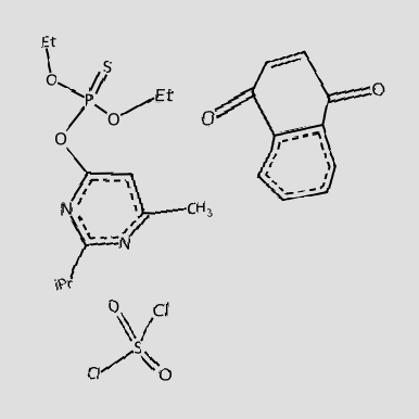 CCOP(=S)(OCC)Oc1cc(C)nc(C(C)C)n1.O=C1C=CC(=O)c2ccccc21.O=S(=O)(Cl)Cl